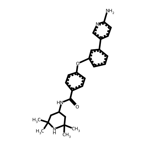 CC1(C)CC(NC(=O)c2ccc(Oc3cccc(-c4ccc(N)nc4)c3)cc2)CC(C)(C)N1